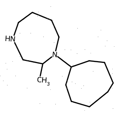 CC1CNCCCCN1C1CCCCCCC1